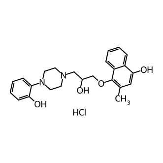 Cc1cc(O)c2ccccc2c1OCC(O)CN1CCN(c2ccccc2O)CC1.Cl